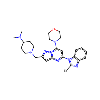 CCc1nc2ccccc2n1-c1cc(N2CCOCC2)n2nc(CN3CCC(N(C)C)CC3)cc2n1